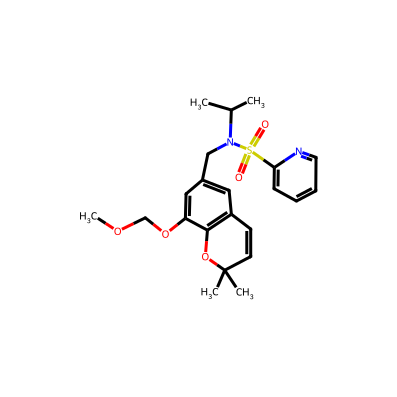 COCOc1cc(CN(C(C)C)S(=O)(=O)c2ccccn2)cc2c1OC(C)(C)C=C2